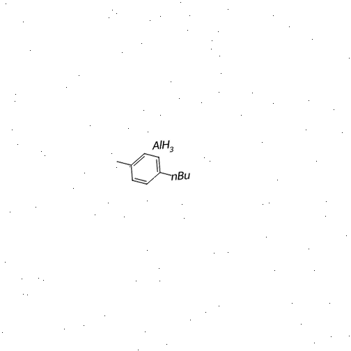 [AlH3].[CH2]CCCc1ccc(C)cc1